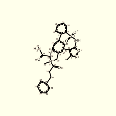 Cc1noc(NS(=O)(=O)c2ccccc2-c2ccc(C[N+](C)(C(=O)CCc3ccccc3)[C@H](C(N)=O)C(C)C)cc2)c1C